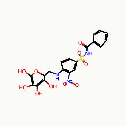 O=C(NS(=O)(=O)c1ccc(NCC2OC(O)=C(O)C(O)=C2O)c([N+](=O)[O-])c1)c1ccccc1